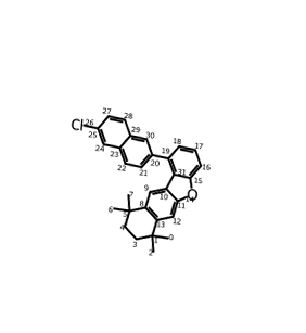 CC1(C)CCC(C)(C)c2cc3c(cc21)oc1cccc(-c2ccc4cc(Cl)ccc4c2)c13